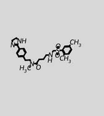 Cc1ccc(C)c(S(=O)(=O)CNCCCC(=O)N(C)CCc2ccc(C3=NCCN3)cc2)c1